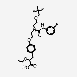 CCOC(Cc1ccc(OCCN(CCOCC(C)(F)F)C(=O)Nc2cccc(F)c2)cc1)C(=O)O